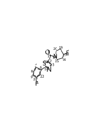 O=C(c1cnc(-c2cccc(F)c2)s1)N1CCC(F)CC1